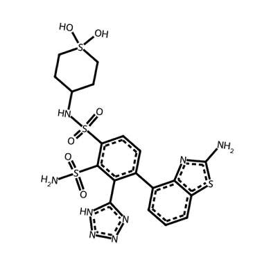 Nc1nc2c(-c3ccc(S(=O)(=O)NC4CCS(O)(O)CC4)c(S(N)(=O)=O)c3-c3nnn[nH]3)cccc2s1